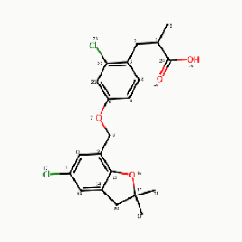 CC(Cc1ccc(OCc2cc(Cl)cc3c2OC(C)(C)C3)cc1Cl)C(=O)O